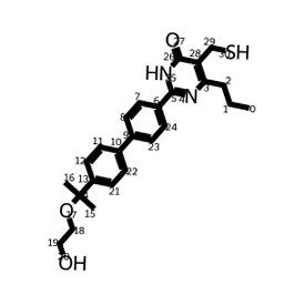 CCCc1nc(-c2ccc(-c3ccc(C(C)(C)OCCO)cc3)cc2)[nH]c(=O)c1CS